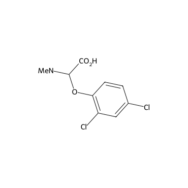 CNC(Oc1ccc(Cl)cc1Cl)C(=O)O